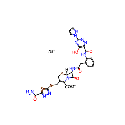 NC(=O)c1nnc(SCC2=C(C(=O)[O-])N3C(=O)C(NC(=O)Cc4ccccc4NC(=O)c4nnc(-n5cccn5)nc4O)[C@H]3SC2)s1.[Na+]